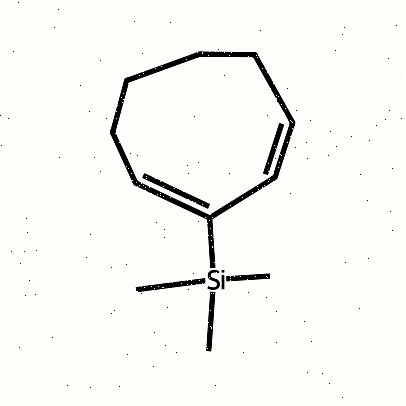 C[Si](C)(C)C1=C/CCCC/C=C\1